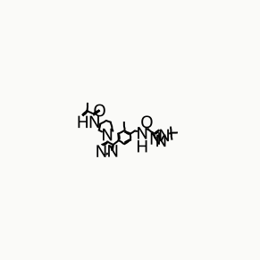 C=C(C)C(=O)NC1CCCN(c2cncnc2-c2ccc(CNC(=O)c3cn(C(C)(C)C)nn3)c(C)c2)C1